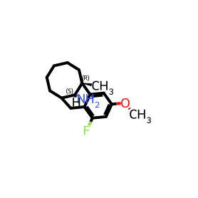 COc1cc(F)c2c(c1)[C@@]1(C)CCCCCC(C2)[C@@H]1N